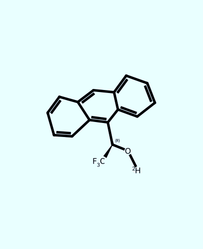 [2H]O[C@H](c1c2ccccc2cc2ccccc12)C(F)(F)F